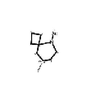 CC(=O)N1CC[C@H](C)CC12CCC2